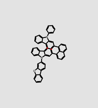 c1ccc(-n2c3ccccc3c3ccc(-c4cccc5cccc(-c6ccc7c8ccccc8n(-c8ccc9c(c8)oc8ccccc89)c7c6)c45)cc32)cc1